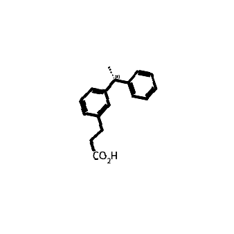 C[C@H](c1ccccc1)c1cccc(CCC(=O)O)c1